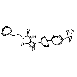 CCc1noc(-c2ccc(-c3ccc(C4(C(=O)O)CC4)cc3)cc2)c1NC(=O)OCCc1ccccc1